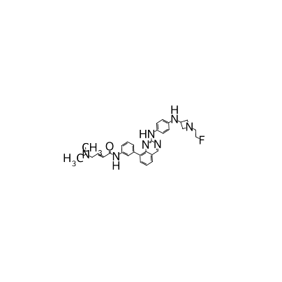 CN(C)C/C=C/C(=O)Nc1cccc(-c2cccc3cnc(Nc4ccc(NC5CN(CCF)C5)cc4)nc23)c1